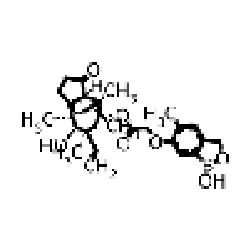 C=C[C@]1(C)C[C@@H](OC(=O)COc2cc3c(cc2C)COB3O)[C@]2(C)[C@H](C)CC[C@]3(CCC(=O)[C@H]32)[C@@H](C)[C@@H]1O